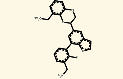 NCc1cccc(-c2cc(C3COc4cccc(CC(=O)O)c4O3)cc3ccoc23)c1F